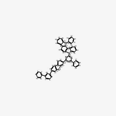 c1ccc(-c2cccc(-c3ccc4c(c3)oc3cc(-c5nc(-c6ccccc6)nc(-n6c7ccccc7c7c6ccc6c8ccccc8n(-c8ccccc8)c67)n5)ccc34)c2)cc1